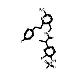 CC(C(=O)NCc1ccc(C(F)(F)F)nc1CCc1ccc(F)cc1)c1ccc(NS(C)(=O)=O)c(F)c1